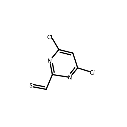 S=Cc1nc(Cl)cc(Cl)n1